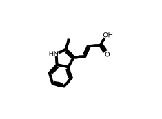 Cc1[nH]c2ccccc2c1C=CC(=O)O